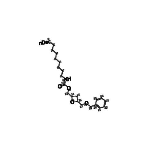 CCCCCCCCCCCCCCCCCCNC(=O)OCC1CC(COCc2ccccc2)O1